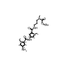 CN(CCCNC(=O)c1cc(NC(=O)c2cc(N)cn2C)cn1C)C(=O)OC(C)(C)C